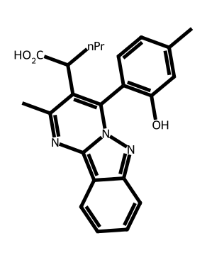 CCCC(C(=O)O)c1c(C)nc2c3ccccc3nn2c1-c1ccc(C)cc1O